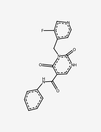 O=C(Nc1ccccc1)c1c[nH]c(=O)n(Cc2ccncc2F)c1=O